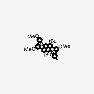 COc1ccc2c(c1)-c1cc(OC)cc3c1B2c1cc2c(C(C)(C)C)cc4c5c(cc6c(C(C)(C)C)cc-3c1c6c25)B1c2ccc(C)cc2-c2cc(OC)cc-4c21